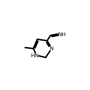 CC1=CC(C=N)=NCN1